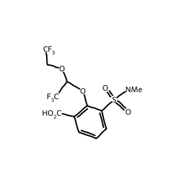 CNS(=O)(=O)c1cccc(C(=O)O)c1OC(OCC(F)(F)F)C(F)(F)F